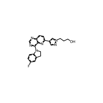 OCCCn1cc(-c2ccc3ncnc(N4CCc5cc(F)ccc54)c3n2)cn1